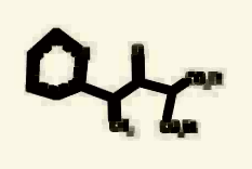 C=C(C(=O)C(C(=O)OCC)C(=O)OCC)c1ccccn1